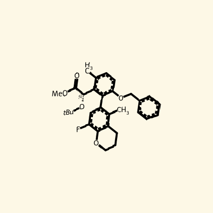 COC(=O)[C@@H](OC(C)(C)C)c1c(C)ccc(OCc2ccccc2)c1-c1cc(F)c2c(c1C)CCCO2